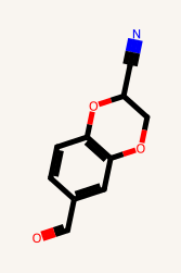 N#CC1COc2cc(C=O)ccc2O1